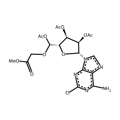 COC(=O)COC(OC(C)=O)[C@H]1O[C@@H](n2cnc3c(N)nc(Cl)nc32)[C@H](OC(C)=O)[C@@H]1OC(C)=O